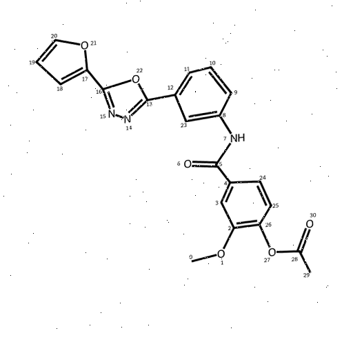 COc1cc(C(=O)Nc2cccc(-c3nnc(-c4ccco4)o3)c2)ccc1OC(C)=O